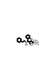 CC1(C)OCc2c1nc1ccccc1c2NCCc1ccccc1